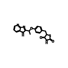 CC(Oc1ccc(CC2SC(=O)NC2=O)cc1)c1nc2ncccc2[nH]1